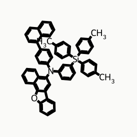 Cc1ccc([Si](c2ccc(C)cc2)(c2ccc(C)cc2)c2cccc(N(c3ccc(-c4cccc5ccccc45)cc3)c3cc4c5ccccc5oc4c4ccccc34)c2)cc1